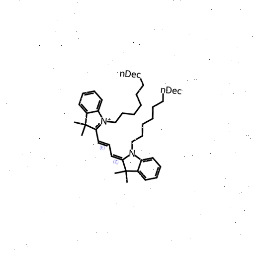 CCCCCCCCCCCCCCCCN1/C(=C\C=C\C2=[N+](CCCCCCCCCCCCCCCC)c3ccccc3C2(C)C)C(C)(C)c2ccccc21